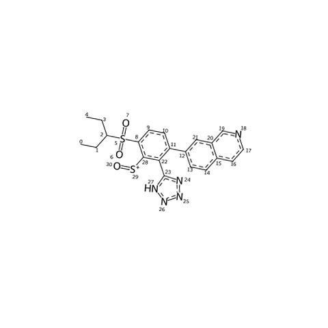 CCC(CC)S(=O)(=O)c1ccc(-c2ccc3ccncc3c2)c(-c2nnn[nH]2)c1[S+]=O